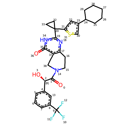 O=C([C@H](O)c1cccc(C(F)(F)F)c1)N1CCc2nc(C3(c4cc(C5CCCCC5)cs4)CC3)[nH]c(=O)c2C1